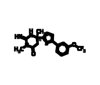 CN1C(=N)N[C@](C)(c2ccc(-c3cccc(OC(F)(F)F)c3)s2)CC1=O